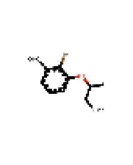 COCC(C)Oc1cccc(C=O)c1Br